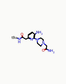 CC(C)(C)NC(=O)Cc1ccc(N)c(N2CCN(CC(N)=O)CC2)n1